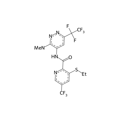 CCSc1cc(C(F)(F)F)cnc1C(=O)Nc1cc(C(F)(F)C(F)(F)F)nnc1NC